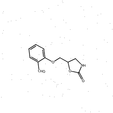 O=Cc1ccccc1OCC1CNC(=O)O1